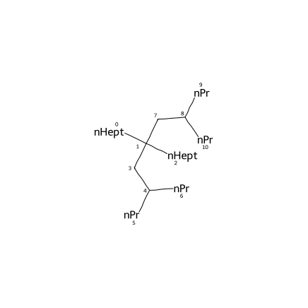 [CH2]CCCCCCC(CCCCCCC)(CC(CCC)CCC)CC(CCC)CCC